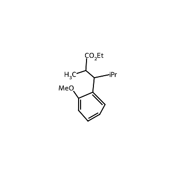 CCOC(=O)C(C)C(c1ccccc1OC)C(C)C